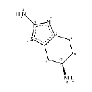 Nc1nc2c(s1)C[C@H](N)CC2